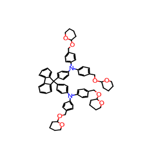 c1ccc2c(c1)-c1ccccc1C2(c1ccc(N(c2ccc(COC3CCCCO3)cc2)c2ccc(COC3CCCCO3)cc2)cc1)c1ccc(N(c2ccc(COC3CCCCO3)cc2)c2ccc(COC3CCCCO3)cc2)cc1